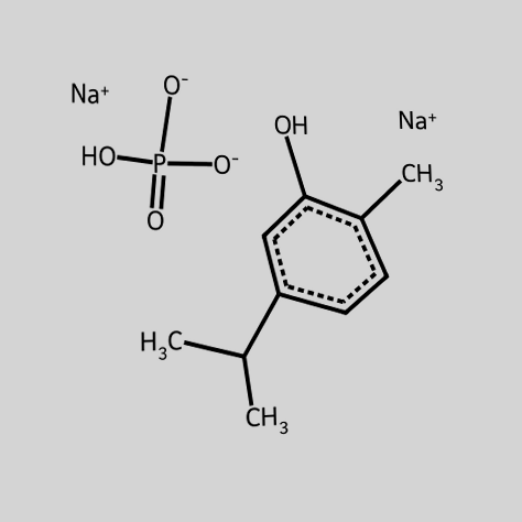 Cc1ccc(C(C)C)cc1O.O=P([O-])([O-])O.[Na+].[Na+]